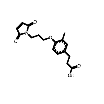 Cc1cc(CCC(=O)O)ccc1OCCCN1C(=O)C=CC1=O